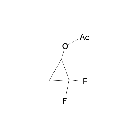 CC(=O)OC1CC1(F)F